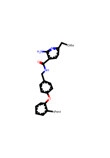 CCCCCc1ccccc1Oc1ccc(CNC(=O)c2ccc(COC)nc2N)cc1